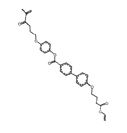 C=COC(=O)CCCOc1ccc(-c2ccc(C(=O)Oc3ccc(OCCCC(=O)C(=C)C)cc3)cc2)cc1